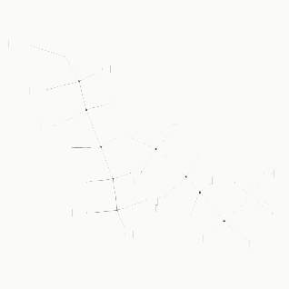 CCC(C)(C)C(C)(C)C(F)(OC(F)(F)C(F)(F)C(F)(F)C(F)(F)S(=O)(=O)O)C(F)(F)C(C)(C)C